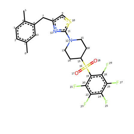 Cc1ccc(C)c(Cc2csc(N3CCC(S(=O)(=O)c4c(F)c(F)c(F)c(F)c4F)CC3)n2)c1